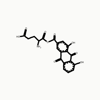 NC(CCC(=O)O)C(=O)OC(=O)c1cc(O)c2c(c1)C(=O)c1cccc(O)c1C2=O